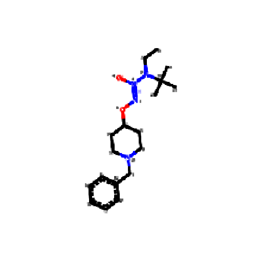 CCN(/[N+]([O-])=N/OC1CCN(Cc2ccccc2)CC1)C(C)(C)C